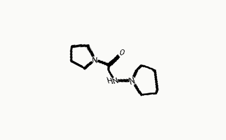 O=C(NN1CCCC1)N1CCCC1